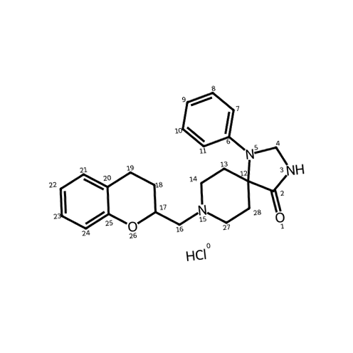 Cl.O=C1NCN(c2ccccc2)C12CCN(CC1CCc3ccccc3O1)CC2